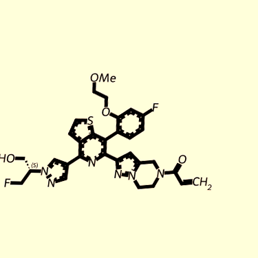 C=CC(=O)N1CCn2nc(-c3nc(-c4cnn([C@@H](CO)CF)c4)c4ccsc4c3-c3ccc(F)cc3OCCOC)cc2C1